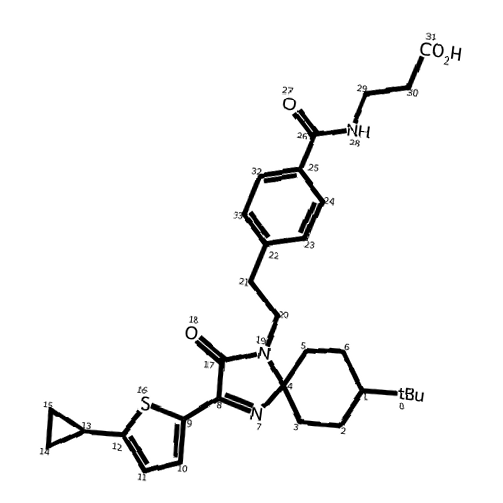 CC(C)(C)C1CCC2(CC1)N=C(c1ccc(C3CC3)s1)C(=O)N2CCc1ccc(C(=O)NCCC(=O)O)cc1